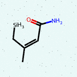 CC(=CC(N)=O)C[SiH3]